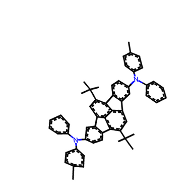 Cc1ccc(N(c2ccccc2)c2ccc3c(c2)-c2cc(C(C)(C)C)c4c5c(cc(C(C)(C)C)c-3c25)-c2cc(N(c3ccccc3)c3ccc(C)cc3)ccc2-4)cc1